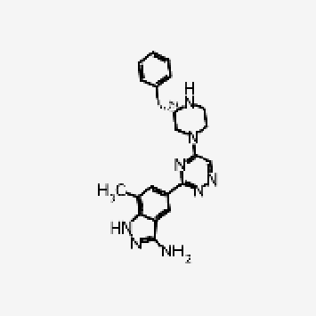 Cc1cc(-c2nncc(N3CCN[C@@H](Cc4ccccc4)C3)n2)cc2c(N)n[nH]c12